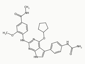 CNC(=O)c1ccc(Nc2nc(OC3CCCC3)c3c(-c4ccc(NC(N)=O)cc4)c[nH]c3n2)c(OC)c1